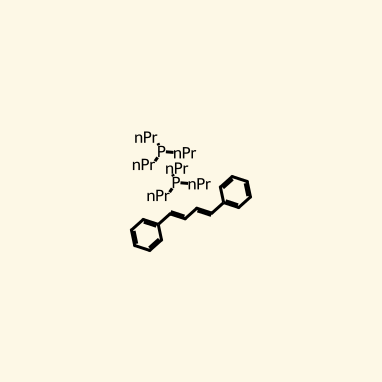 C(C=Cc1ccccc1)=Cc1ccccc1.CCCP(CCC)CCC.CCCP(CCC)CCC